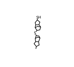 CC1CC2C3CC(SC4CC5CC4C4CC(S)CC54)C(C3)C2C1